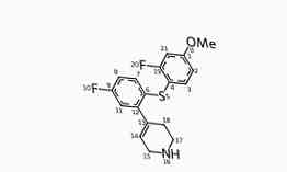 COc1ccc(Sc2ccc(F)cc2C2=CCNCC2)c(F)c1